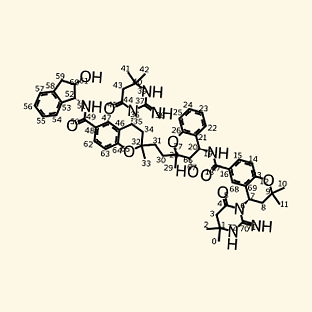 CC1(C)CC(=O)N([C@@H]2CC(C)(C)Oc3ccc(C(=O)N[C@@H]4c5ccccc5OC(C)(CCC5(C)C[C@@H](N6C(=N)NC(C)(C)CC6=O)c6cc(C(=O)N[C@@H]7c8ccccc8C[C@H]7O)ccc6O5)[C@H]4O)cc32)C(=N)N1